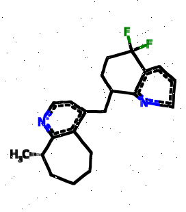 C[C@H]1CCCCc2c(CC3CCC(F)(F)c4cccnc43)ccnc21